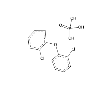 Clc1ccccc1Oc1ccccc1Cl.O=P(O)(O)O